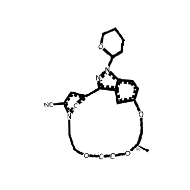 C[C@@H]1COc2ccc3c(c2)c(nn3C2CCCCO2)-c2cc(C#N)n(c2)CCOCCO1